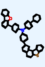 c1ccc(-c2ccc(N(c3ccc(-c4ccc5ccc6sc7ccccc7c6c5c4)cc3)c3ccc(-c4cccc5c4oc4ccccc45)cc3)cc2)cc1